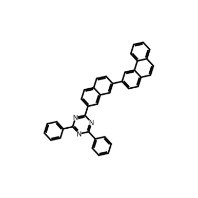 c1ccc(-c2nc(-c3ccccc3)nc(-c3ccc4ccc(-c5ccc6ccc7ccccc7c6c5)cc4c3)n2)cc1